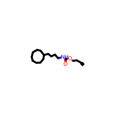 C#CCCOC(=O)NCCCCC1CCCCCCCC1